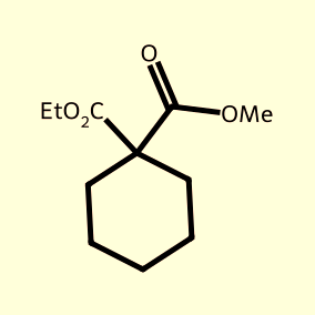 CCOC(=O)C1(C(=O)OC)CCCCC1